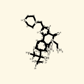 CCN(CC)C(=O)c1nc(CN2CCSCC2)sc1-c1ccc(C(O)(C(F)(F)F)C(F)(F)F)c(Cl)c1Cl